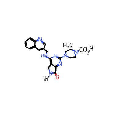 CC(C)N1Cc2c(NCc3cnc4ccccc4c3)nc(N3CCN(C(=O)O)[C@@H](C)C3)nc2C1=O